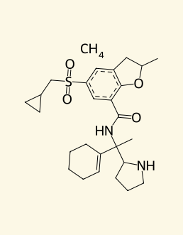 C.CC1Cc2cc(S(=O)(=O)CC3CC3)cc(C(=O)NC(C)(C3=CCCCC3)C3CCCN3)c2O1